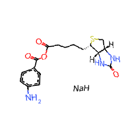 Nc1ccc(C(=O)OC(=O)CCCC[C@@H]2SC[C@@H]3NC(=O)N[C@@H]32)cc1.[NaH]